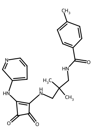 Cc1ccc(C(=O)NCC(C)(C)CNc2c(Nc3cccnc3)c(=O)c2=O)cc1